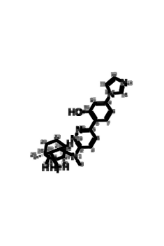 CN(c1ccc(-c2ccc(-n3ccnc3)cc2O)nn1)[C@@H]1[C@H]2CC[C@](C)(NC2)[C@H]1F